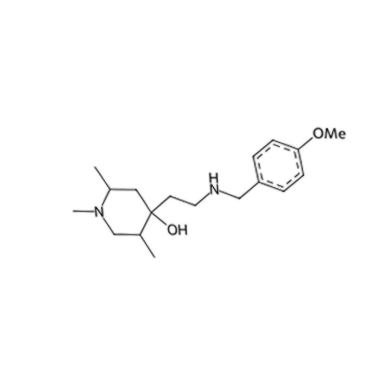 COc1ccc(CNCCC2(O)CC(C)N(C)CC2C)cc1